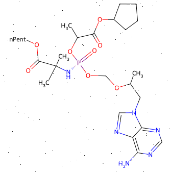 CCCCCOC(=O)C(C)(C)N[P@](=O)(OCOC(C)Cn1cnc2c(N)ncnc21)OC(C)C(=O)OC1CCCC1